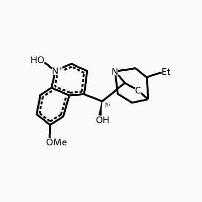 CCC1CN2CCC1CC2[C@@H](O)c1cc[n+](O)c2ccc(OC)cc12